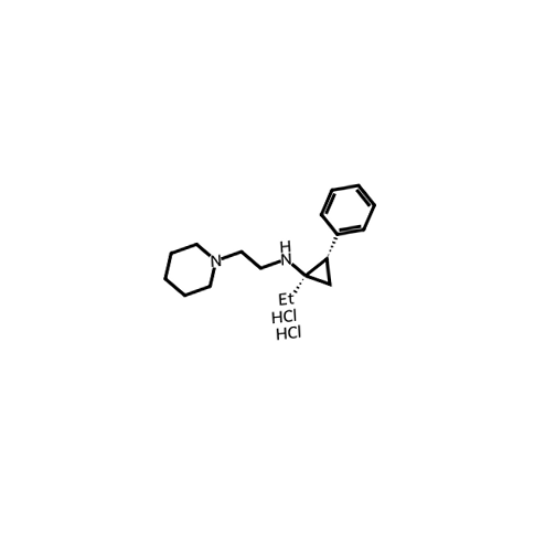 CC[C@@]1(NCCN2CCCCC2)C[C@H]1c1ccccc1.Cl.Cl